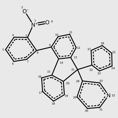 O=[N+]([O-])c1ccccc1-c1cccc2c1-c1ccccc1C2(c1ccccc1)c1cccnc1